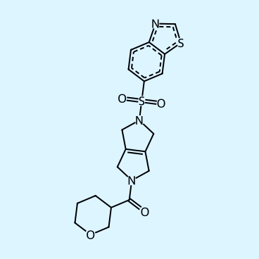 O=C(C1CCCOC1)N1CC2=C(C1)CN(S(=O)(=O)c1ccc3ncsc3c1)C2